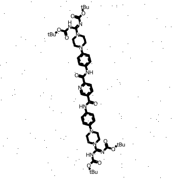 CC(C)(C)OC(=O)/N=C(/NC(=O)OC(C)(C)C)N1CCN(c2ccc(NC(=O)c3ccc(C(=O)Nc4ccc(N5CCN(/C(=N/C(=O)OC(C)(C)C)NC(=O)OC(C)(C)C)CC5)cc4)nc3)cc2)CC1